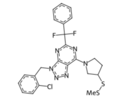 CSSC1CCN(c2nc(C(F)(F)c3ccccc3)nc3c2nnn3Cc2ccccc2Cl)C1